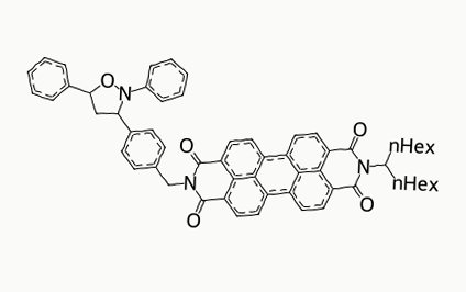 CCCCCCC(CCCCCC)N1C(=O)c2ccc3c4ccc5c6c(ccc(c7ccc(c2c37)C1=O)c64)C(=O)N(Cc1ccc(C2CC(c3ccccc3)ON2c2ccccc2)cc1)C5=O